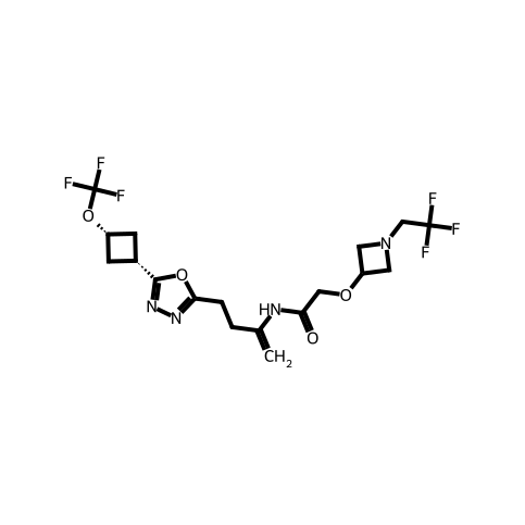 C=C(CCc1nnc([C@H]2C[C@@H](OC(F)(F)F)C2)o1)NC(=O)COC1CN(CC(F)(F)F)C1